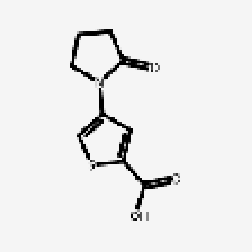 O=C(O)c1cc(N2CCCC2=O)cs1